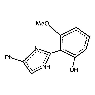 CCc1c[nH]c(-c2c(O)cccc2OC)n1